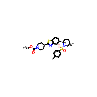 Cc1ccc(S(=O)(=O)N2C[C@@H](C)CC[C@@H]2c2ccc3sc(C4CCN(C(=O)OC(C)(C)C)CC4)nc3c2)cc1